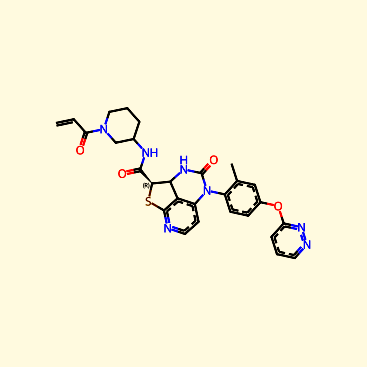 C=CC(=O)N1CCCC(NC(=O)[C@@H]2Sc3nccc4c3C2NC(=O)N4c2ccc(Oc3cccnn3)cc2C)C1